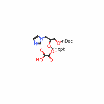 CCCCCCCCCCOCC(Cn1ccnc1)OCCCCCCC.O=C(O)C(=O)O